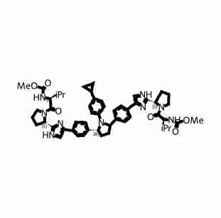 COC(=O)N[C@H](C(=O)N1CCC[C@H]1c1nc(-c2ccc(C3CC[C@H](c4ccc(-c5c[nH]c([C@@H]6CCCN6C(=O)[C@@H](NC(=O)OC)C(C)C)n5)cc4)N3c3ccc(C4CC4)cc3)cc2)c[nH]1)C(C)C